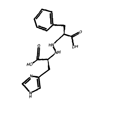 O=C(O)[C@H](Cc1ccccc1)NN[C@@H](Cc1c[nH]cn1)C(=O)O